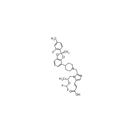 Cc1ccc([C@@]2(C)Oc3cccc(C4CCN(Cc5ncc(/C=C/C(=O)O)n5C[C@H](C)OC(F)F)CC4)c3O2)c(F)c1